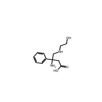 NC(CNCCO)(CC(=O)O)c1ccccc1